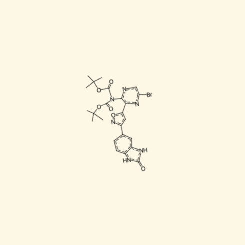 CC(C)(C)OC(=O)N(C(=O)OC(C)(C)C)c1ncc(Br)nc1-c1cc(-c2ccc3[nH]c(=O)[nH]c3c2)no1